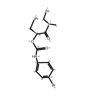 CC(=O)CN(C)C(=O)[C@H](CC(C)C)OC(=O)Nc1ccc(Br)cc1